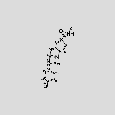 CNC(=O)c1ccc2c(c1)sc1nc(-c3ccc(C)cc3)cn12